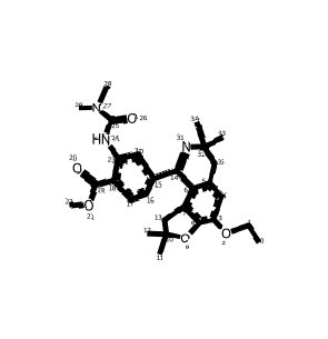 CCOc1cc2c(c3c1OC(C)(C)C3)C(c1ccc(C(=O)OC)c(NC(=O)N(C)C)c1)=NC(C)(C)C2